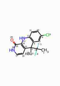 CCCCC1(C(C)(F)F)c2cc(Cl)ccc2Nc2c1cc[nH]c2=O